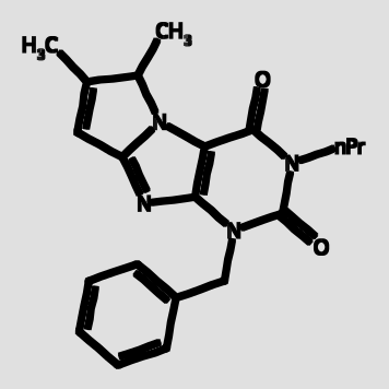 CCCn1c(=O)c2c(nc3n2C(C)C(C)=C3)n(Cc2ccccc2)c1=O